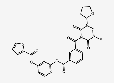 O=C(Oc1cc(OC(=O)c2cccs2)ccn1)c1cccc(C(=O)n2c(=O)c(F)cn(C3CCCO3)c2=O)c1